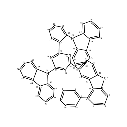 c1ccc(-c2cccc3sc4ccc(-c5nc(-c6ccccc6-n6c7ccccc7c7ccccc76)nc(-n6c7ccccc7c7ccccc76)n5)cc4c23)cc1